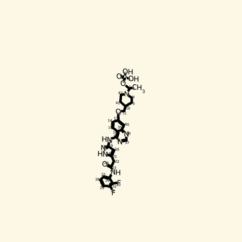 CC(OP(=O)(O)O)N1CCC(COc2ccc3c(Nc4cc(CC(=O)Nc5cccc(F)c5F)[nH]n4)ncnc3c2)CC1